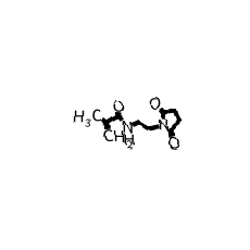 C=C(C)C(=O)NCCN1C(=O)CCC1=O